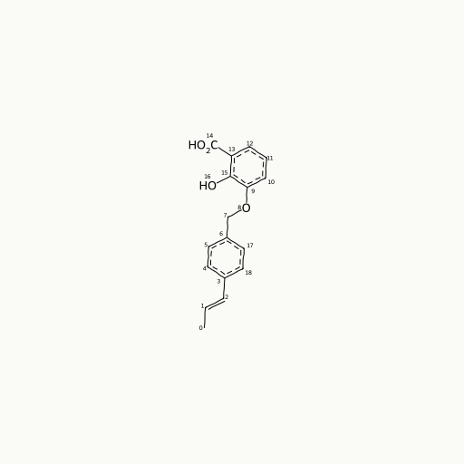 C/C=C/c1ccc(COc2cccc(C(=O)O)c2O)cc1